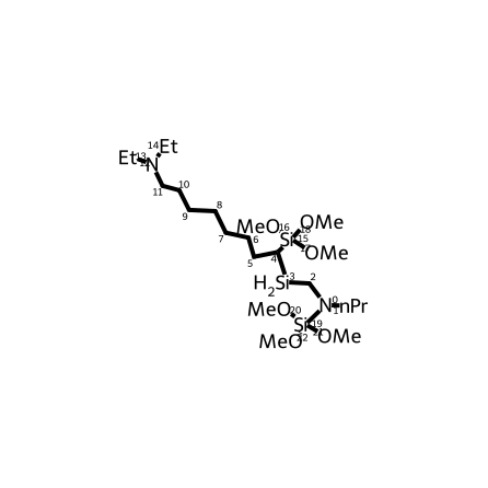 CCCN(C[SiH2]C(CCCCCCCN(CC)CC)[Si](OC)(OC)OC)[Si](OC)(OC)OC